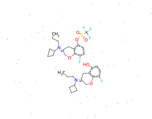 CCCN(C1CCC1)[C@H]1COc2c(F)ccc(O)c2C1.CCCN(C1CCC1)[C@H]1COc2c(F)ccc(OS(=O)(=O)C(F)(F)F)c2C1